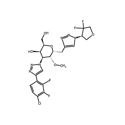 CO[C@@H]1[C@@H](n2cc(-c3ccc(Cl)c(F)c3F)nn2)[C@@H](O)[C@@H](CO)O[C@@H]1Cc1cn([C@@H]2COCC2(F)F)nn1